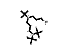 CC(C)(C)N(CCCO)CCCN(C(C)(C)C)C(C)(C)C